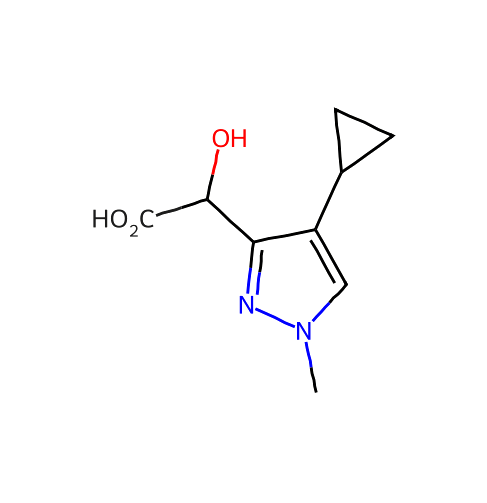 Cn1cc(C2CC2)c(C(O)C(=O)O)n1